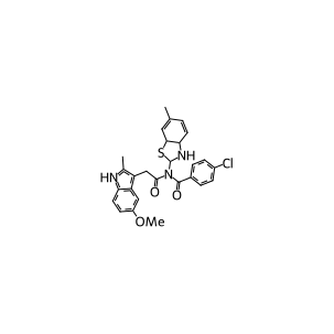 COc1ccc2[nH]c(C)c(CC(=O)N(C(=O)c3ccc(Cl)cc3)C3NC4C=CC(C)=CC4S3)c2c1